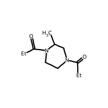 CCC(=O)N1CCN(C(=O)CC)C(C)C1